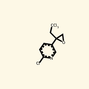 Clc1ccc(C2(CC(Cl)(Cl)Cl)CO2)cn1